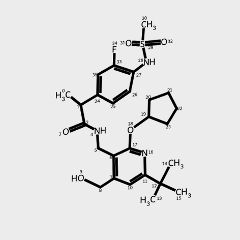 CC(C(=O)NCc1c(CO)cc(C(C)(C)C)nc1OC1CCCC1)c1ccc(NS(C)(=O)=O)c(F)c1